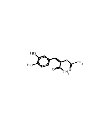 CC(=O)S/C(=C/c1ccc(O)c(O)c1)C(C)=O